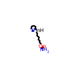 CN1CCCC[CH]1[InH][CH2]CCCCCCCOC(N)=O